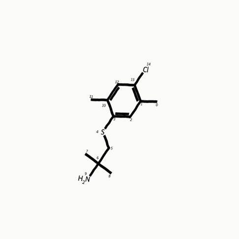 Cc1cc(SCC(C)(C)N)c(C)cc1Cl